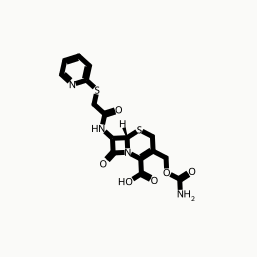 NC(=O)OCC1=C(C(=O)O)N2C(=O)C(NC(=O)CSc3ccccn3)[C@@H]2SC1